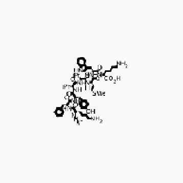 CSCC[C@H](NC(=O)[C@@H](NC(=O)[C@@H](NC(=O)[C@H](Cc1ccc(O)cc1)NC(=O)[C@H](Cc1ccccc1)NC(=O)[C@H](CCCCN)N=[N+]=[N-])C(C)C)C(C)C)C(=O)N[C@@H](Cc1c[nH]c2ccccc12)C(=O)N[C@@H](CCCCN)C(=O)O